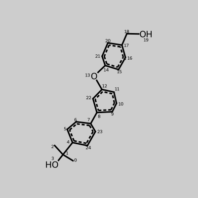 CC(C)(O)c1ccc(-c2cccc(Oc3c[c]c(CO)cc3)c2)cc1